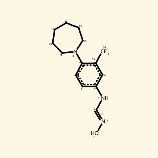 O/N=C/Nc1ccc(N2CCCCCC2)c(C(F)(F)F)c1